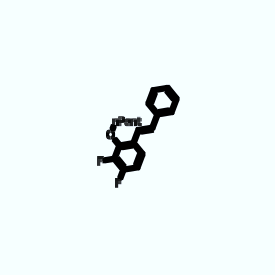 CCCCCOc1c(C=Cc2ccccc2)ccc(F)c1F